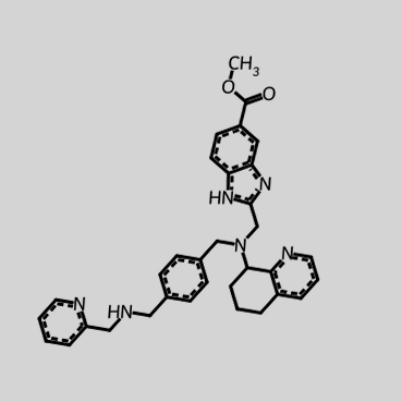 COC(=O)c1ccc2[nH]c(CN(Cc3ccc(CNCc4ccccn4)cc3)C3CCCc4cccnc43)nc2c1